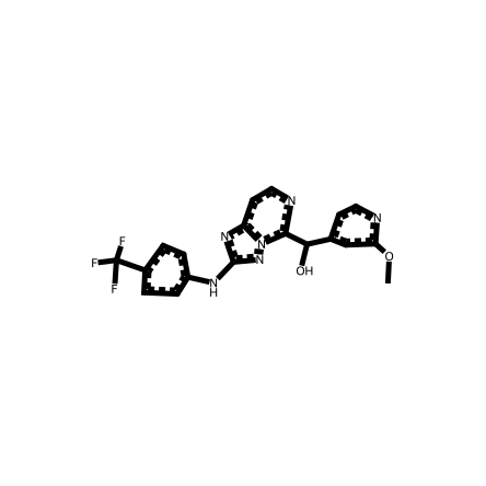 COc1cc(C(O)c2nccc3nc(Nc4ccc(C(F)(F)F)cc4)nn23)ccn1